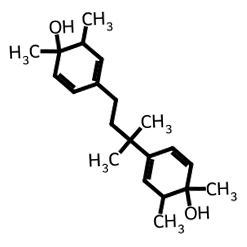 CC1C=C(CCC(C)(C)C2=CC(C)C(C)(O)C=C2)C=CC1(C)O